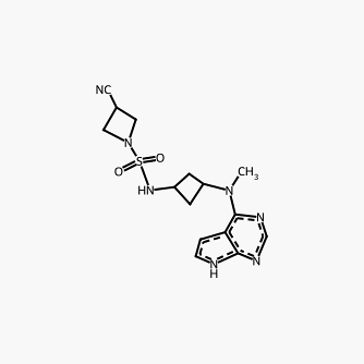 CN(c1ncnc2[nH]ccc12)C1CC(NS(=O)(=O)N2CC(C#N)C2)C1